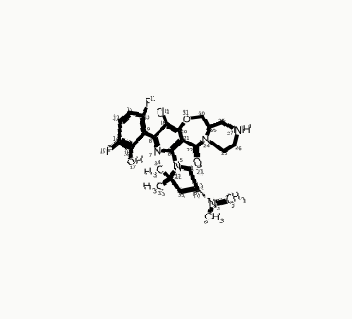 CN(C)[C@H]1CN(c2nc(-c3c(F)ccc(F)c3O)c(Cl)c3c2C(=O)N2CCNCC2CO3)C(C)(C)C1